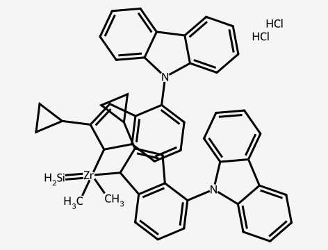 Cl.Cl.[CH3][Zr]([CH3])(=[SiH2])([CH]1C(C2CC2)=Cc2c1cccc2-n1c2ccccc2c2ccccc21)[CH]1C(C2CC2)=Cc2c1cccc2-n1c2ccccc2c2ccccc21